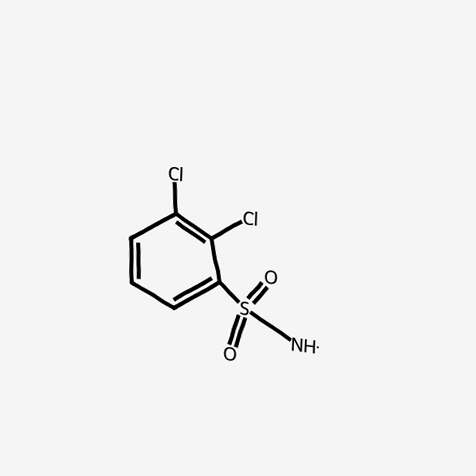 [NH]S(=O)(=O)c1cccc(Cl)c1Cl